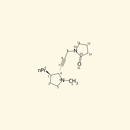 CCC[C@@H]1CCN(C)[C@H]1C#CCN1CCCC1=O